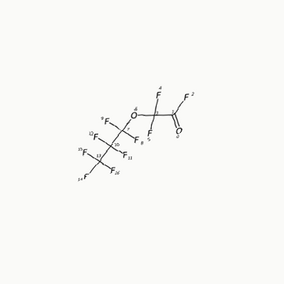 O=C(F)C(F)(F)OC(F)(F)C(F)(F)C(F)(F)F